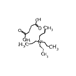 CCC[N+](CCC)(CCC)CCC.O=C(O)CCC(=O)O